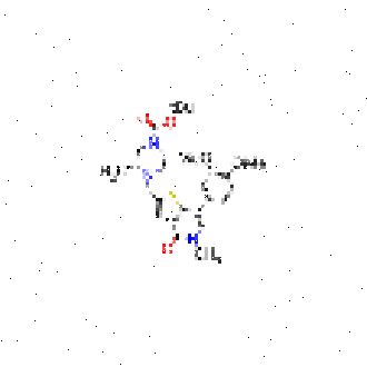 COc1ccc(-c2cn(C)c(=O)c3cc(CN4CCN(C(=O)OC(C)(C)C)C[C@@H]4C)sc23)cc1OC